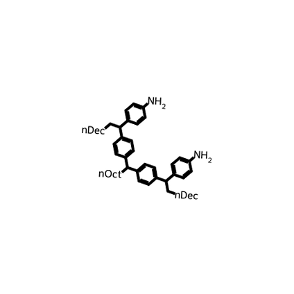 CCCCCCCCCCCC(c1ccc(N)cc1)c1ccc(C(CCCCCCCC)c2ccc(C(CCCCCCCCCCC)c3ccc(N)cc3)cc2)cc1